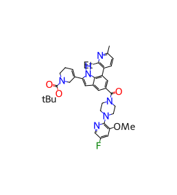 CCc1nc(C)ccc1-c1cc(C(=O)N2CCN(c3ncc(F)cc3OC)CC2)cc2cc(C3=CCCN(C(=O)OC(C)(C)C)C3)[nH]c12